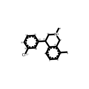 Cc1cccc2c1CN(C)CC2c1cccc(Cl)c1